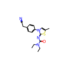 CCN(CC)C(=O)N=c1sc(C)cn1-c1ccc(CC#N)cc1